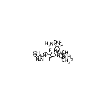 COc1cc(N2CC=C(c3c(F)cc(N4C[C@@H](C)N(C)[C@@H](C)C4)c(-n4cc(C(N)=O)c(C(F)(F)F)cc4=O)c3F)C2)ncn1